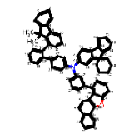 CC1(C)c2ccccc2-c2cccc(-c3ccccc3-c3ccc(N(c4cccc(-c5cccc6oc7c8ccccc8ccc7c56)c4)c4ccc5c(c4)C4(CCCCC4)c4ccccc4-5)cc3)c21